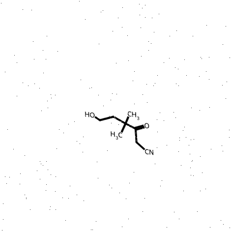 CC(C)(CCO)C(=O)CC#N